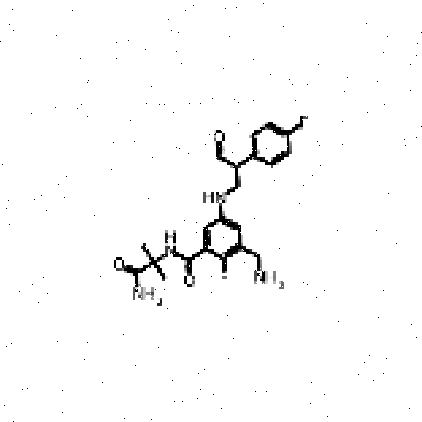 CC(C)(NC(=O)c1cc(NCC(C=O)c2ccc(F)cc2)cc(CN)c1F)C(N)=O